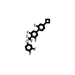 Fc1ccc(OC(F)(F)c2c(F)cc(-c3ccc(C4CCC4)cc3F)cc2F)cc1F